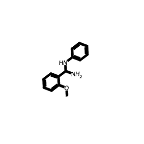 COc1ccccc1C(N)Nc1ccccc1